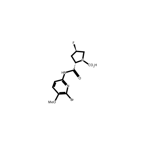 COc1ccc(NC(=O)[C@@H]2C[C@@H](F)CN2C(=O)O)nc1Br